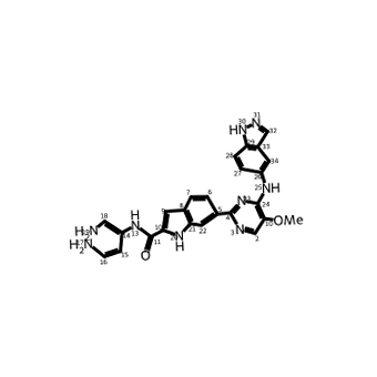 COc1cnc(-c2ccc3cc(C(=O)NC(/C=C\N)=C/N)[nH]c3c2)nc1Nc1ccc2[nH]ncc2c1